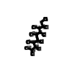 ClCC(Cl)C(Cl)C(Cl)C(Cl)C(Cl)C(Cl)C(Cl)C(Cl)Cl